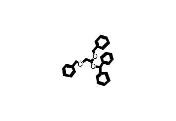 c1ccc(COCC(OCc2ccccc2)OC(c2ccccc2)c2ccccc2)cc1